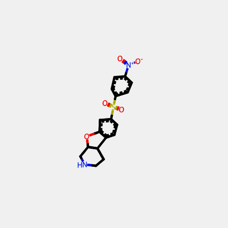 O=[N+]([O-])c1ccc(S(=O)(=O)c2ccc3c(c2)OC2CNCCC32)cc1